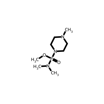 COP(=O)(N(C)C)N1CCN(C)CC1